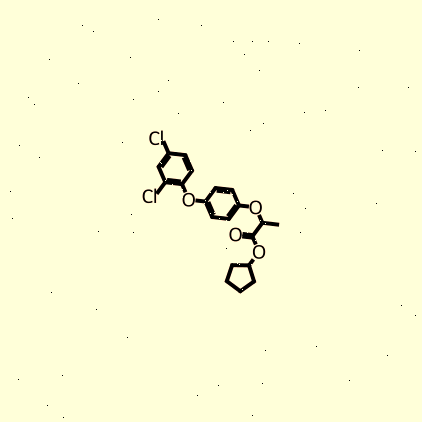 CC(Oc1ccc(Oc2ccc(Cl)cc2Cl)cc1)C(=O)OC1CCCC1